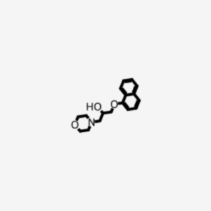 OC(COc1cccc2ccccc12)CN1CCOCC1